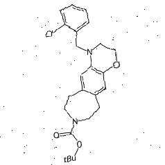 CC(C)(C)OC(=O)N1CCc2cc3c(cc2CC1)N(Cc1ccccc1Cl)CCO3